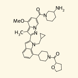 COc1cc(C(=O)N2CCCC(N)C2)cn2nc(-c3cc4cccc(C5CCN(C(=O)C6CCCO6)CC5)c4n3CC3CC3)c(C)c12